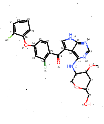 COC1CC(CO)OCC1Nc1ncnc2[nH]cc(C(=O)c3ccc(Oc4ccccc4F)cc3Cl)c12